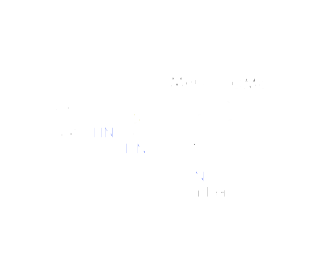 CCCCCN1CCC2(c3ccc(OC)c(OC)c3)CCC(NC(=S)NCc3ccccc3)CC12